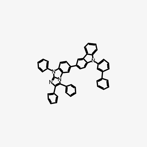 c1ccc(-c2cccc(-n3c4ccccc4c4cc(-c5ccc6c(c5)n5c(-c7ccccc7)c(-c7ccccc7)nc5n6-c5ccccc5)ccc43)c2)cc1